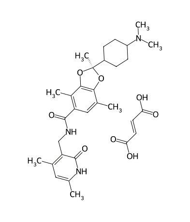 Cc1cc(C)c(CNC(=O)c2cc(C)c3c(c2C)O[C@@](C)(C2CCC(N(C)C)CC2)O3)c(=O)[nH]1.O=C(O)C=CC(=O)O